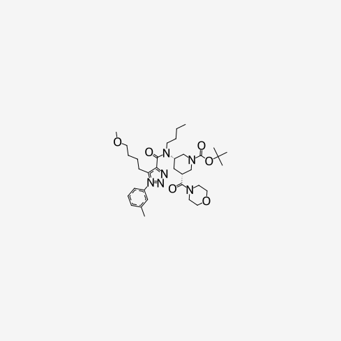 CCCCN(C(=O)c1nnn(-c2cccc(C)c2)c1CCCCOC)[C@H]1C[C@@H](C(=O)N2CCOCC2)CN(C(=O)OC(C)(C)C)C1